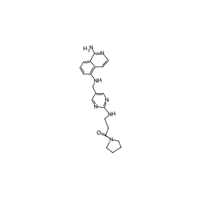 Nc1nccc2c(NCc3cnc(NCCC(=O)N4CCCC4)nc3)cccc12